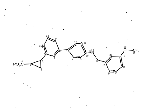 O=C(O)C1CC1c1cc(-c2ccc(NCc3cccc(OC(F)(F)F)c3)nc2)ccn1